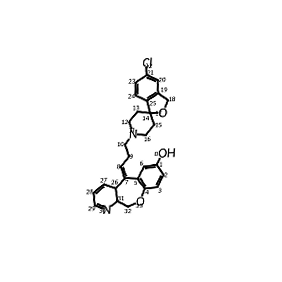 Oc1ccc2c(c1)C(=CCCN1CCC3(CC1)OCc1cc(Cl)ccc13)C1C=CC=NC1CO2